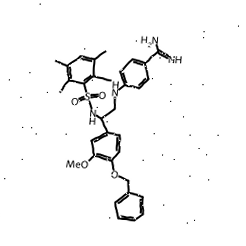 COc1cc(C(CNc2ccc(C(=N)N)cc2)NS(=O)(=O)c2c(C)c(C)cc(C)c2C)ccc1OCc1ccccc1